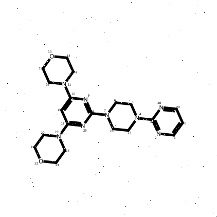 c1cnc(N2CCN(c3nc(N4CCOCC4)cc(N4CCOCC4)n3)CC2)nc1